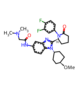 CO[C@H]1CC[C@H](n2c([C@@H]3CCCC(=O)N3c3ccc(F)c(F)c3)nc3cc(NC(=O)CN(C)C)ccc32)CC1